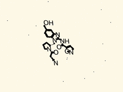 N#CCC(=O)N1CCC[C@@H]1Cn1c(NC(=O)c2ccno2)nc2cc(CO)ccc21